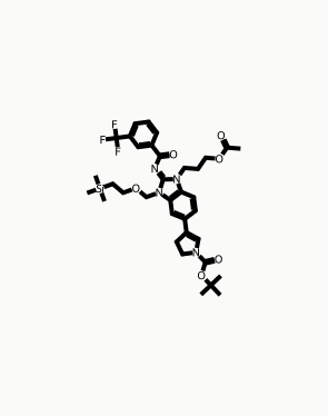 CC(=O)OCCCn1c(=NC(=O)c2cccc(C(F)(F)F)c2)n(COCC[Si](C)(C)C)c2cc(C3=CN(C(=O)OC(C)(C)C)CC3)ccc21